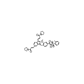 COc1cc(C(=O)NS(=O)(=O)c2ccccc2C)ccc1Cn1cc(C=CC(=O)N2CCCC2)c2ccc(C=CC(=O)N3CCCC3)cc21